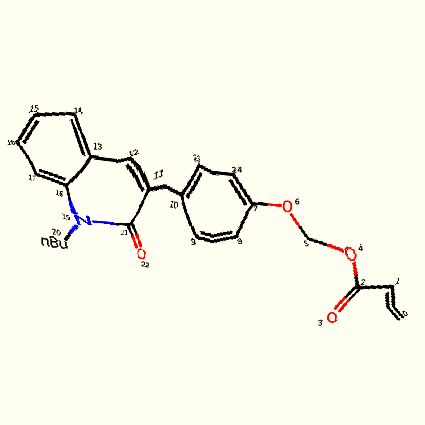 C=CC(=O)OCOc1ccc(-c2cc3ccccc3n(CCCC)c2=O)cc1